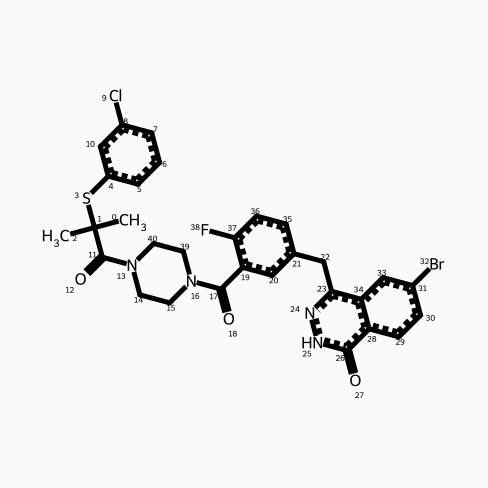 CC(C)(Sc1cccc(Cl)c1)C(=O)N1CCN(C(=O)c2cc(Cc3n[nH]c(=O)c4ccc(Br)cc34)ccc2F)CC1